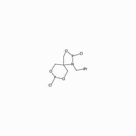 CC(C)CN1P(Cl)OCC12COP(Cl)OC2